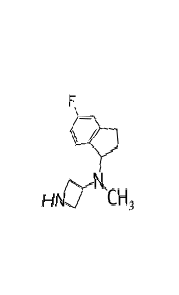 CN(C1CNC1)C1CCc2cc(F)ccc21